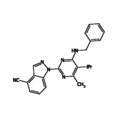 Cc1nc(-n2ncc3c(C#N)cccc32)nc(NCc2ccccc2)c1C(C)C